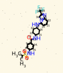 CC(C)S(=O)(=O)Nc1ccc(C(=O)NC2CCC(Nc3cccc4nc(C(F)(F)F)cn34)CC2)cc1